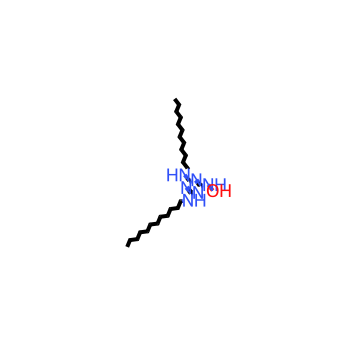 CCCCCCCCCCCCNc1nc(NO)nc(NCCCCCCCCCCCC)n1